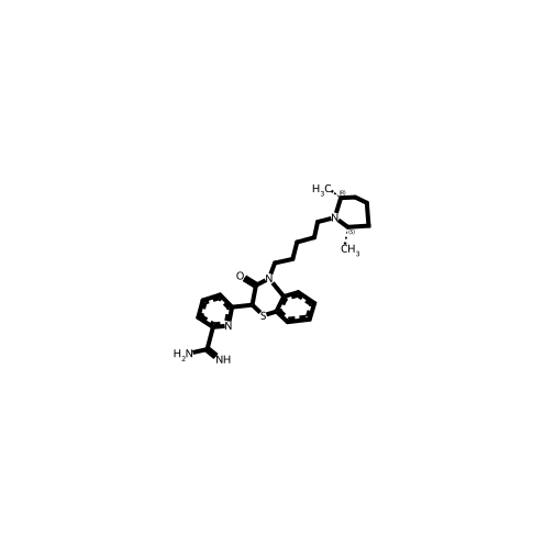 C[C@@H]1CCC[C@H](C)N1CCCCCN1C(=O)C(c2cccc(C(=N)N)n2)Sc2ccccc21